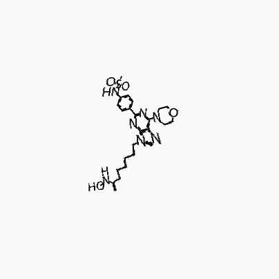 C=C(CCCCCCn1cnc2c(N3CCOCC3)nc(-c3ccc(NS(C)(=O)=O)cc3)nc21)NO